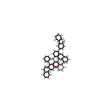 c1ccc(N(c2ccc(-c3ccc4oc5ccccc5c4c3)cc2)c2ccccc2-c2cccc3cccc(C4CCCCC4)c23)c(-c2cccc3c2ccc2ccccc23)c1